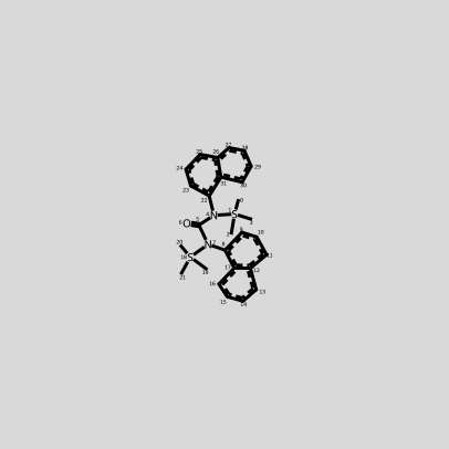 CS(C)(C)N(C(=O)N(c1cccc2ccccc12)S(C)(C)C)c1cccc2ccccc12